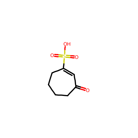 O=C1C=C(S(=O)(=O)O)CCCC1